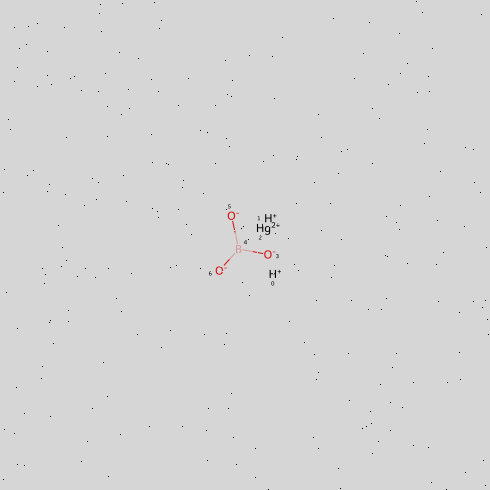 [H+].[H+].[Hg+2].[O-]B([O-])[O-]